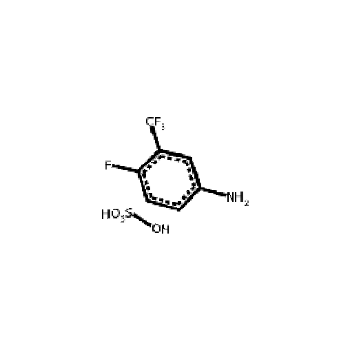 Nc1ccc(F)c(C(F)(F)F)c1.O=S(=O)(O)O